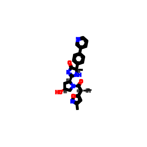 Cc1cc([C@H](C(=O)N2C[C@H](O)C[C@H]2C2=NC(=O)[C@@](C)(c3ccc(-c4cccnc4)cc3)N2)C(C)C)on1